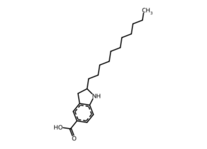 CCCCCCCCCCCC1Cc2cc(C(=O)O)ccc2N1